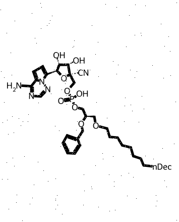 CCCCCCCCCCCCCCCCCCOC[C@H](COP(=O)(O)OC[C@@]1(C#N)O[C@@H](c2ccc3c(N)ncnn23)[C@H](O)[C@@H]1O)OCc1ccccc1